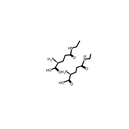 CCNC(=O)CC[C@H](N)C(=O)O.CCNC(=O)CC[C@H](N)C(=O)O